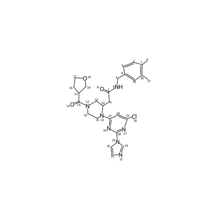 Cc1ccc(CNC(=O)CC2CN(C(=O)C3CCOC3)CCN2c2cc(Cl)nc(-n3ccnc3)n2)cc1C